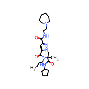 CCCN1C(=O)c2cc(C(=O)NCCN3CCCCCC3)nn2CC1(C)C(=O)NC1CCCC1